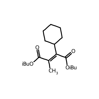 CC(C(=O)OCC(C)C)=C(C(=O)OCC(C)C)C1CCCCC1